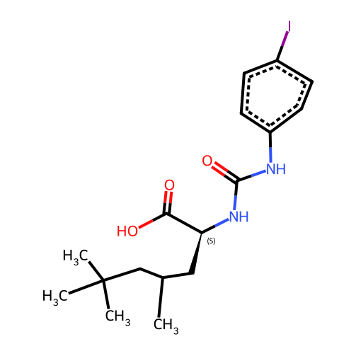 CC(C[C@H](NC(=O)Nc1ccc(I)cc1)C(=O)O)CC(C)(C)C